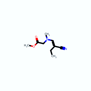 CC/C(C#N)=C\N(C)CC(=O)OC